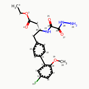 CCOC(=O)C[C@@H](Cc1ccc(-c2cc(F)ccc2OC)cc1)NC(=O)C(=O)NN